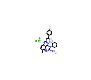 Cc1ccc2nc(C=Cc3ccc(Cl)cc3)nc(N(C(=N)N)[C@H]3CCCC[C@H]3N)c2c1.Cl.Cl